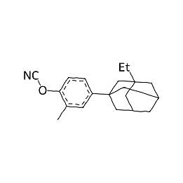 CCC12CC3CC(C1)CC(c1ccc(OC#N)c(C)c1)(C3)C2